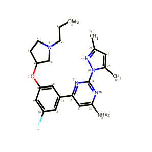 COCCN1CCC(Oc2cc(F)cc(-c3cc(NC(C)=O)nc(-n4nc(C)cc4C)n3)c2)C1